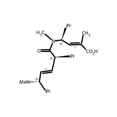 CN[C@H](/C=C/[C@@H](C(=O)N(C)[C@H](/C=C(\C)C(=O)O)C(C)C)C(C)C)C(C)C